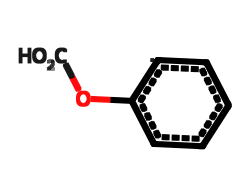 O=C(O)Oc1[c]cccc1